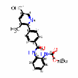 Cc1cc(C=O)cnc1-c1ccc(C(=O)Nc2ccccc2NC(=O)OC(C)(C)C)cc1